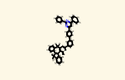 C=CC1=C(/C=C(\C)c2cccc(-c3ccc(-c4cc(C5=CCCC=C5)nc(-c5ccccc5)n4)cc3)c2)C(C)(C)c2ccccc2C2=C1c1ccccc1C2(C)C